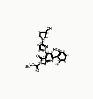 CC(C)(C)OC(=O)N1Cc2nc(-c3c(F)cccc3C#N)cc(-n3ccc(N4CCC(C#N)C4)n3)c2C1=O